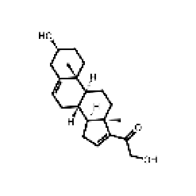 C[C@]12CC[C@H](O)CC1=CC[C@@H]1[C@@H]2CC[C@]2(C)C(C(=O)CO)=CC[C@@H]12